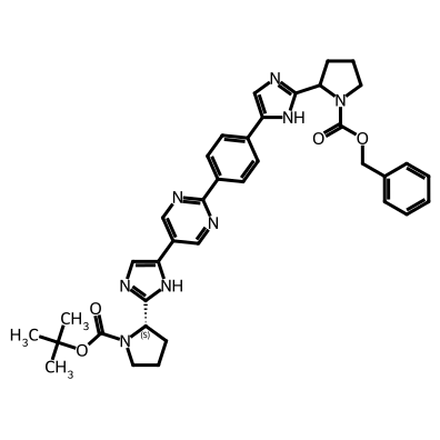 CC(C)(C)OC(=O)N1CCC[C@H]1c1ncc(-c2cnc(-c3ccc(-c4cnc(C5CCCN5C(=O)OCc5ccccc5)[nH]4)cc3)nc2)[nH]1